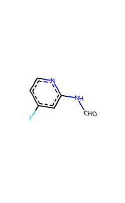 O=CNc1cc(F)ccn1